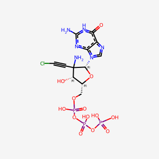 Nc1nc2c(ncn2[C@@H]2O[C@H](COP(=O)(O)OP(=O)(O)OP(=O)(O)O)[C@H](O)C2(N)C#CCl)c(=O)[nH]1